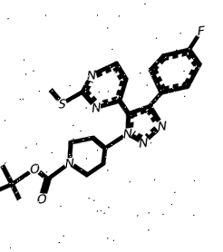 CSc1nccc(-c2c(-c3ccc(F)cc3)nnn2C2CCN(C(=O)OC(C)(C)C)CC2)n1